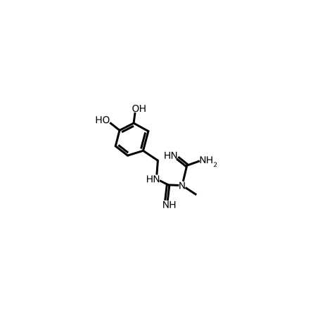 CN(C(=N)N)C(=N)NCc1ccc(O)c(O)c1